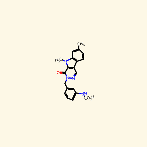 Cc1ccc2c3cnn(Cc4cccc(NC(=O)O)c4)c(=O)c3n(C)c2c1